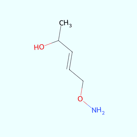 CC(O)/C=C/CON